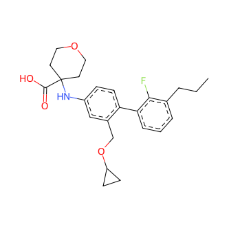 CCCc1cccc(-c2ccc(NC3(C(=O)O)CCOCC3)cc2COC2CC2)c1F